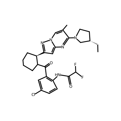 CC[C@H]1CCN(c2nc3cc([C@@H]4CCCCC4C(=O)c4cc(Cl)ccc4NC(=O)C(F)F)nn3cc2C)C1